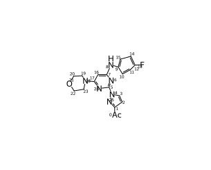 CC(=O)c1ccn(-c2nc(Nc3ccc(F)cc3)cc(N3CCOCC3)n2)n1